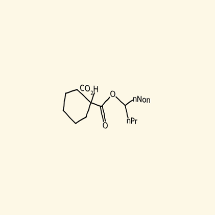 CCCCCCCCCC(CCC)OC(=O)C1(C(=O)O)CCCCC1